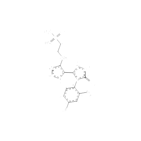 CS(=N)(=O)CCNc1nonc1-c1noc(=O)n1-c1ccc(F)cc1Br